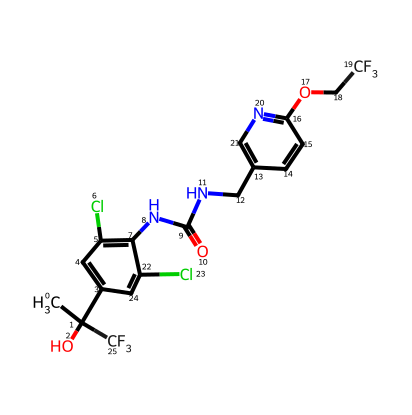 CC(O)(c1cc(Cl)c(NC(=O)NCc2ccc(OCC(F)(F)F)nc2)c(Cl)c1)C(F)(F)F